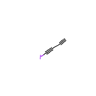 C#CC#CI